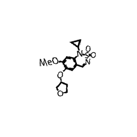 COc1cc2c(cc1O[C@H]1CCOC1)C=NS(=O)(=O)N2C1CC1